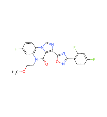 COCCn1c(=O)c2c(-c3nc(-c4ccc(F)cc4F)no3)ncn2c2ccc(F)cc21